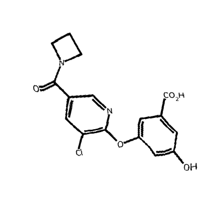 O=C(O)c1cc(O)cc(Oc2ncc(C(=O)N3CCC3)cc2Cl)c1